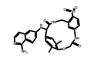 Cc1cc2cc(C)c1OCC(=O)Nc1ccc([SH](=O)=O)c(c1)CNC(=O)C2Nc1ccc2c(N)nccc2c1